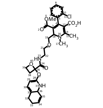 COC(=O)C1=C(c2ccccc2Cl)C(C(=O)O)=C(C)N(C)C1COCCNC(=O)C1(OC2=CC=C3CCC=CC3N2)CCO1